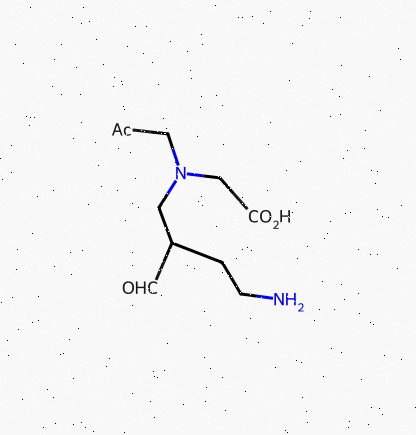 CC(=O)CN(CC(=O)O)CC(C=O)CCN